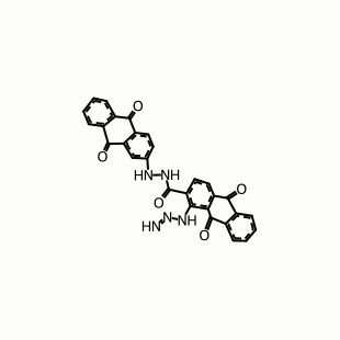 N=NNc1c(C(=O)NNc2ccc3c(c2)C(=O)c2ccccc2C3=O)ccc2c1C(=O)c1ccccc1C2=O